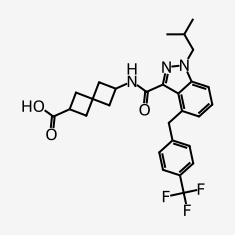 CC(C)Cn1nc(C(=O)NC2CC3(C2)CC(C(=O)O)C3)c2c(Cc3ccc(C(F)(F)F)cc3)cccc21